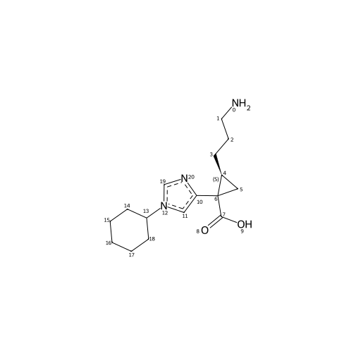 NCCC[C@H]1CC1(C(=O)O)c1cn(C2CCCCC2)cn1